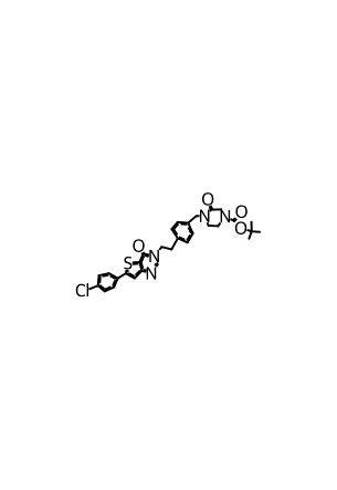 CC(C)(C)OC(=O)N1CCN(Cc2ccc(CCn3cnc4cc(-c5ccc(Cl)cc5)sc4c3=O)cc2)C(=O)C1